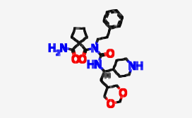 NC(=O)C1(C(=O)N(CCc2ccccc2)C(=O)N[C@H](CC2COCOC2)C2CCNCC2)CCCC1